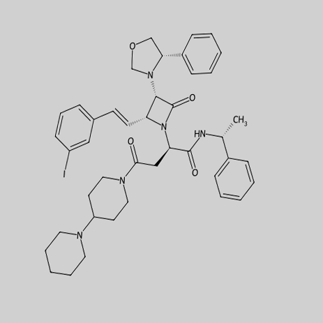 C[C@@H](NC(=O)[C@@H](CC(=O)N1CCC(N2CCCCC2)CC1)N1C(=O)[C@@H](N2COC[C@@H]2c2ccccc2)[C@H]1/C=C/c1cccc(I)c1)c1ccccc1